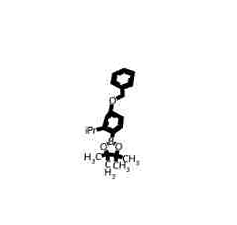 CC(C)c1cc(OCc2ccccc2)ccc1B1OC(C)(C)C(C)(C)O1